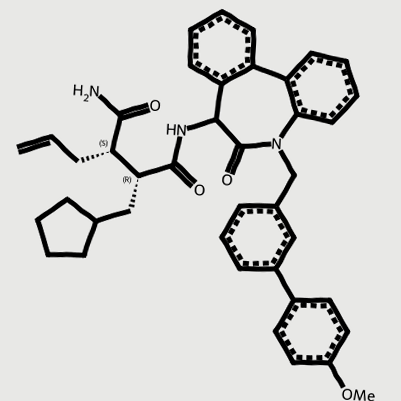 C=CC[C@H](C(N)=O)[C@@H](CC1CCCC1)C(=O)NC1C(=O)N(Cc2cccc(-c3ccc(OC)cc3)c2)c2ccccc2-c2ccccc21